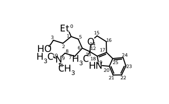 CCC(CCO)CC(CCN(C)C)C1(C)OCCc2c1[nH]c1ccccc21